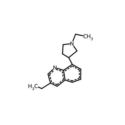 CCc1cnc2c(C3CCN(CC)C3)cccc2c1